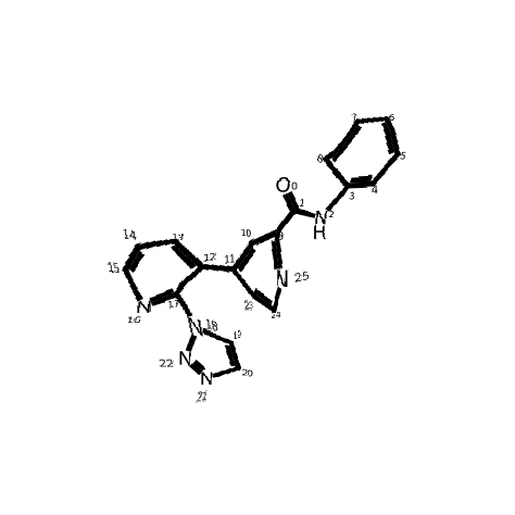 O=C(Nc1ccccc1)c1cc(-c2cccnc2-n2ccnn2)ccn1